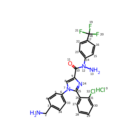 Cl.NCc1ccc(-n2cc(C(=O)N(N)c3ccc(C(F)(F)F)cc3)nc2-c2ccccc2Cl)cc1